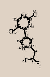 FC(F)Cn1cc(-c2nc(Cl)ncc2Cl)cn1